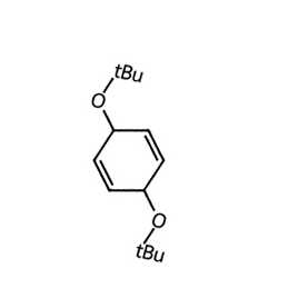 CC(C)(C)OC1C=CC(OC(C)(C)C)C=C1